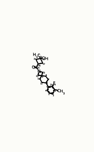 Cc1cccc(C2CCC3(CC2)CN(C(=O)C2CC(C)(O)C2)C3)c1F